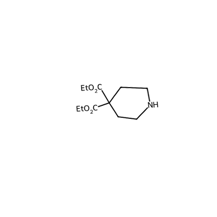 CCOC(=O)C1(C(=O)OCC)CCNCC1